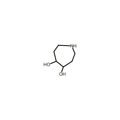 OC1CCNCCC1O